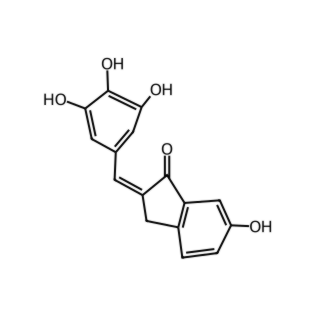 O=C1C(=Cc2cc(O)c(O)c(O)c2)Cc2ccc(O)cc21